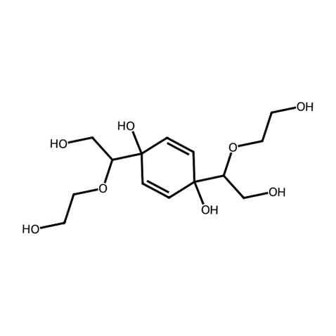 OCCOC(CO)C1(O)C=CC(O)(C(CO)OCCO)C=C1